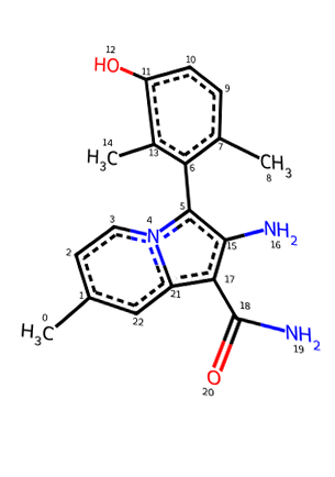 Cc1ccn2c(-c3c(C)ccc(O)c3C)c(N)c(C(N)=O)c2c1